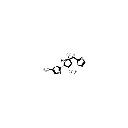 Cc1cnc([C@@H]2N[C@](Cc3nccs3)(C(=O)O)C[C@@H]2C(=O)O)s1